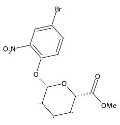 COC(=O)[C@@H]1[CH][CH][CH][C@H](Oc2ccc(Br)cc2[N+](=O)[O-])O1